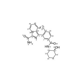 NC(=O)c1nc(-c2cc(C(=O)N[C@H]3CCCC[C@@H]3O)ccc2C(F)(F)F)c2ccccn12